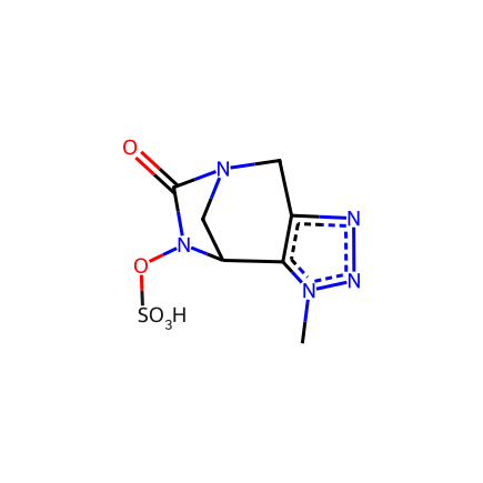 Cn1nnc2c1C1CN(C2)C(=O)N1OS(=O)(=O)O